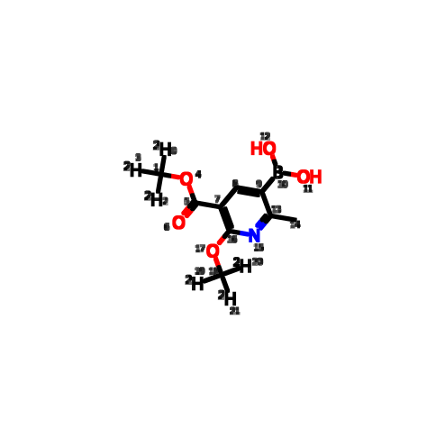 [2H]C([2H])([2H])OC(=O)c1cc(B(O)O)c(C)nc1OC([2H])([2H])[2H]